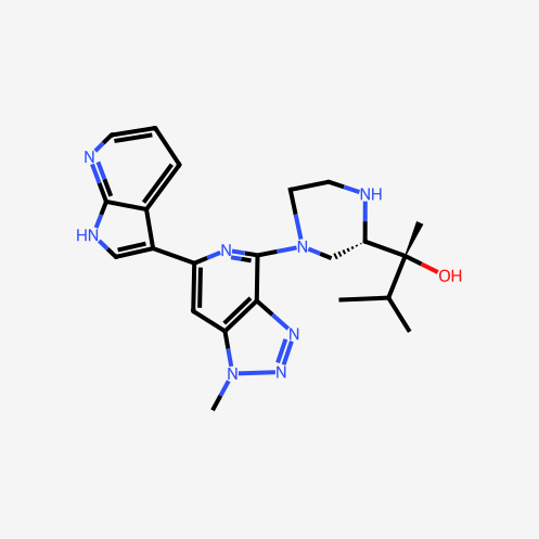 CC(C)[C@@](C)(O)[C@@H]1CN(c2nc(-c3c[nH]c4ncccc34)cc3c2nnn3C)CCN1